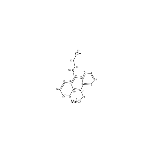 COCc1c2ccccc2c(SCCO)c2ccccc12